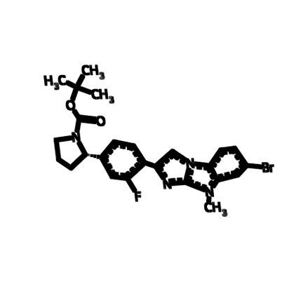 Cn1c2cc(Br)ccc2n2cc(-c3ccc([C@@H]4CCCN4C(=O)OC(C)(C)C)cc3F)nc12